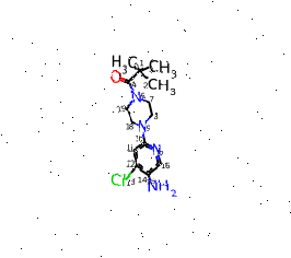 CC(C)(C)C(=O)N1CCN(c2cc(Cl)c(N)cn2)CC1